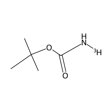 [3H]NC(=O)OC(C)(C)C